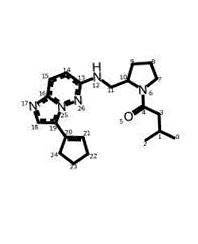 CC(C)CC(=O)N1CCCC1CNc1ccc2ncc(C3=CCCC3)n2n1